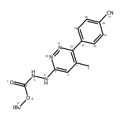 Cc1cc(NNC(=O)OC(C)(C)C)nnc1-c1ccc(C#N)cc1